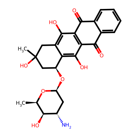 C[C@H]1O[C@@H](O[C@H]2CC(C)(O)Cc3c(O)c4c(c(O)c32)C(=O)c2ccccc2C4=O)C[C@H](N)[C@H]1O